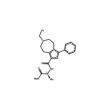 CNC(=O)[C@@H](NC(=O)c1nc(-c2ccccc2)n2c1CCN(CC(C)C)CC2)C(C)(C)C